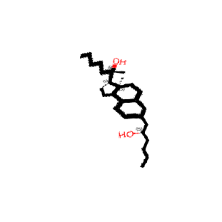 CCCCC[C@](C)(O)[C@H]1CCC2C3CC=C(C[C@@H](O)CCCC)CC3CC[C@@]21C